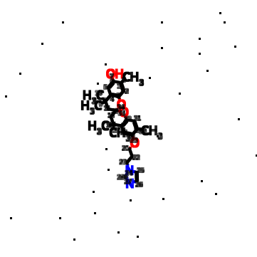 Cc1cc2c(cc1O)C(C)(C)CC1(CC(C)(C)c3cc(OCCCn4ccnc4)c(C)cc3O1)O2